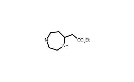 CCOC(=O)CC1CC[N]CCN1